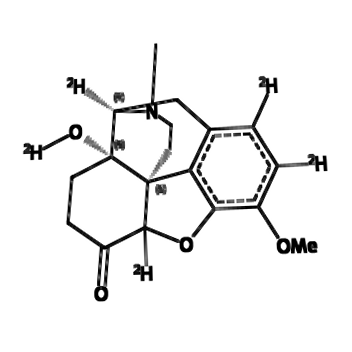 [2H]O[C@@]12CCC(=O)C3([2H])Oc4c(OC)c([2H])c([2H])c5c4[C@@]31CCN(C)[C@]2([2H])C5